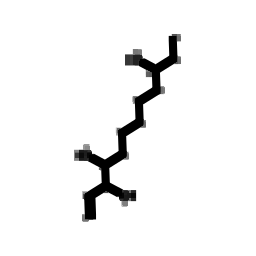 C=CC(O)C(O)CCCCCC(O)CC